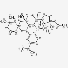 C=C(C)c1ccc([C@H]2C[C@@]3(C)[C@@H](CC[C@@]3(O)COC)[C@@H]3CC[C@@]4(O)CC5(CCC4=C32)CC(C)(C)COO5)cc1